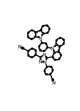 N#Cc1ccc(-c2nc(-c3cccc4c5ccccc5n(-c5cccc(-n6c7ccccc7c7ccccc76)c5)c34)n(-c3ccc(C#N)cc3)n2)cc1